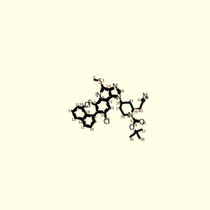 CSc1nc2c(F)c(-c3cccc4cccc(Cl)c34)c(Cl)cc2c2c1ncn2C1CCN(C(=O)OC(C)(C)C)[C@H](CC#N)C1